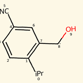 CC(C)c1ccc(C#N)cc1[CH]O